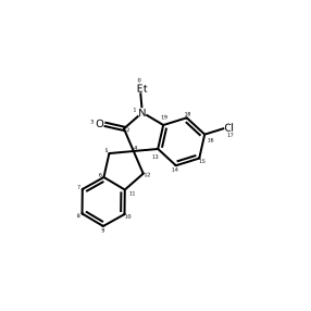 CCN1C(=O)C2(Cc3ccccc3C2)c2ccc(Cl)cc21